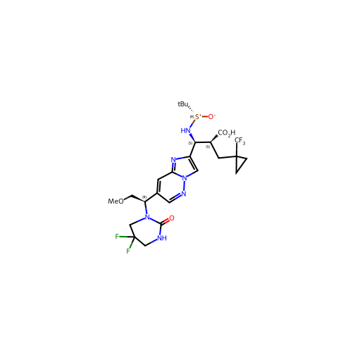 COC[C@@H](c1cnn2cc([C@@H](N[S@@+]([O-])C(C)(C)C)[C@H](CC3(C(F)(F)F)CC3)C(=O)O)nc2c1)N1CC(F)(F)CNC1=O